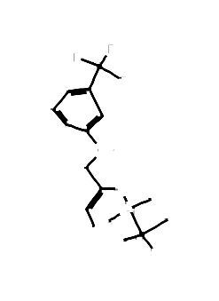 CC=C(COc1cccc(C(F)(F)F)c1)O[Si](C)(C)C(C)(C)C